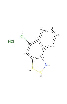 Cl.Clc1cc2c(c3ccccc13)[N]SS2